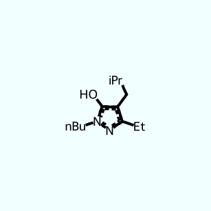 CCCCn1nc(CC)c(CC(C)C)c1O